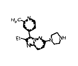 CCc1nc2ccc(N3CCNCC3)nn2c1-c1ccnc(C)c1